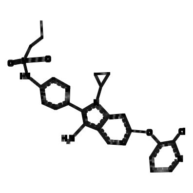 CCCS(=O)(=O)Nc1ccc(-c2c(N)c3ccc(Oc4cccnc4Cl)cc3n2C2CC2)cc1